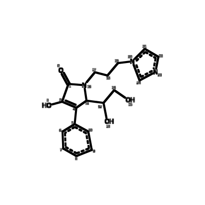 O=C1C(O)=C(c2ccccc2)C(C(O)CO)N1CCCn1ccnc1